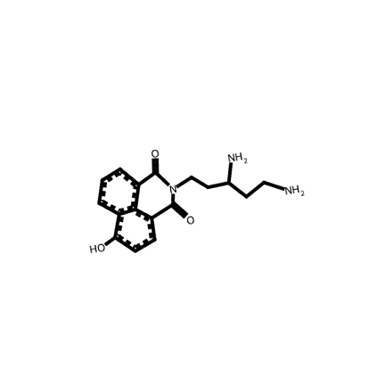 NCCC(N)CCN1C(=O)c2cccc3c(O)ccc(c23)C1=O